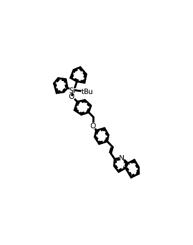 CC(C)(C)[Si](Oc1ccc(COc2ccc(C=Cc3ccc4ccccc4n3)cc2)cc1)(c1ccccc1)c1ccccc1